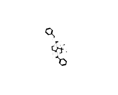 COC1(OC)CN(C(=O)c2ccccc2)[C@@H]2CCN(C(=O)OCc3ccccc3)[C@@H]21